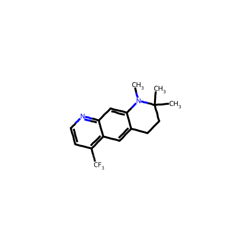 CN1c2cc3nccc(C(F)(F)F)c3cc2CCC1(C)C